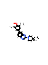 Cc1cc(-c2ccc3ncc(N4CCC(C)(C)CC4)nc3c2)cc(C)c1O